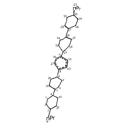 CCCC1CCC(C2CCC(c3ccc(C4CCC(C5CCC(CCC)CC5)CC4)cc3)CC2)CC1